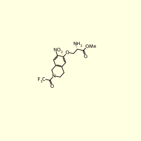 COC(=O)[C@@H](N)COc1cc2c(cc1[N+](=O)[O-])CN(C(=O)C(F)(F)F)CC2